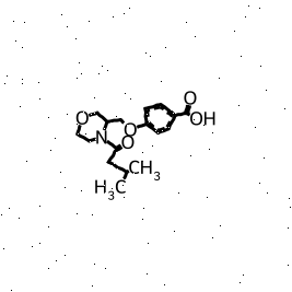 CC(C)CC(=O)N1CCOCC1COc1ccc(C(=O)O)cc1